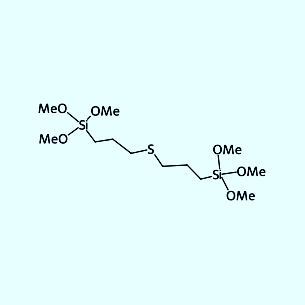 CO[Si](CCCSCCC[Si](OC)(OC)OC)(OC)OC